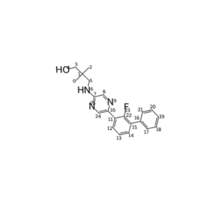 CC(C)(CO)CNc1cnc(-c2cccc(-c3ccccc3)c2F)cn1